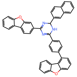 c1ccc2cc(C3N=C(c4ccc5c(c4)oc4ccccc45)N=C(c4ccc(-c5cccc6oc7ccccc7c56)cc4)N3)ccc2c1